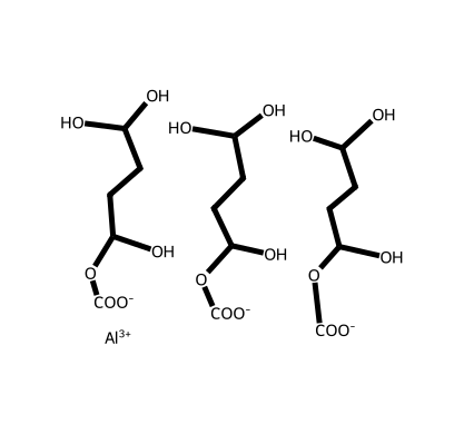 O=C([O-])OC(O)CCC(O)O.O=C([O-])OC(O)CCC(O)O.O=C([O-])OC(O)CCC(O)O.[Al+3]